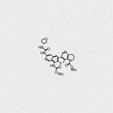 Cc1c(-c2cc3cc(NC(=O)N[C@@H]4CCOC4)ncc3c(NC(=O)OC(C)(C)C)c2F)cnc2c1N(C(=O)OC(C)(C)C)CCC2